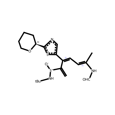 C=C(/C(=C\C=C(/C)NC=O)c1cnc([C@@H]2CCCCO2)s1)[S+]([O-])NC(C)(C)C